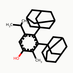 Cc1c(O)cc(C(C)C)c(C23CC4CC(CC(C4)C2)C3)c1C12CC3CC(CC(C3)C1)C2